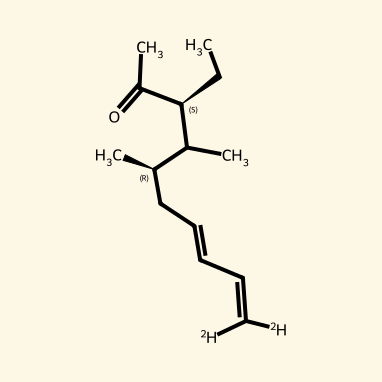 [2H]C([2H])=CC=CC[C@@H](C)C(C)[C@H](CC)C(C)=O